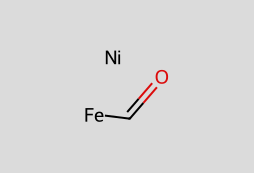 O=[CH][Fe].[Ni]